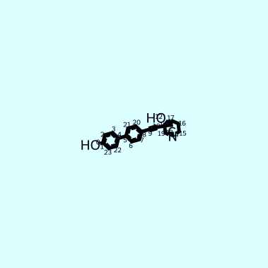 Oc1ccc(-c2ccc(C#CC3(O)CN4CCC3CC4)cc2)cc1